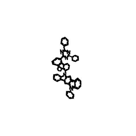 c1ccc(-c2nc(-c3ccccc3)nc(-c3cccc4oc5c(-n6c7ccccc7c7cc8c(cc76)c6ccccc6n8-c6ccccc6)cccc5c34)n2)cc1